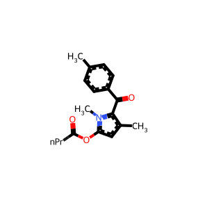 CCCC(=O)Oc1cc(C)c(C(=O)c2ccc(C)cc2)n1C